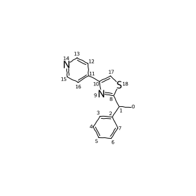 CC(c1ccccc1)c1nc(-c2ccncc2)cs1